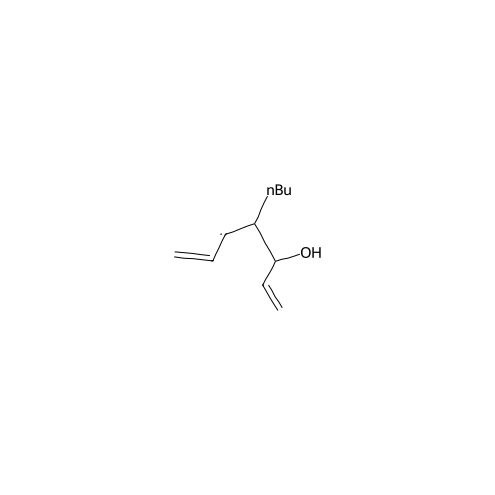 C=C[CH]C(CCCC)C(O)C=C